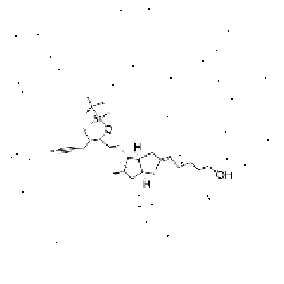 CC#CCC(C)[C@@H](/C=C/[C@@H]1[C@H]2C/C(=C/CCCCO)C[C@H]2C[C@H]1C)O[Si](C)(C)C(C)(C)C